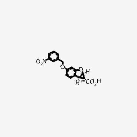 O=C(O)[C@H]1[C@@H]2Oc3cc(OCc4cccc([N+](=O)[O-])c4)ccc3[C@@H]21